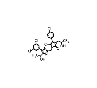 CC(O)c1nc(Cn2c(Cl)c(-c3ccc(Cl)cc3)n(CC(O)C(F)(F)F)c2=O)nn1-c1cc(Cl)cc(Cl)c1